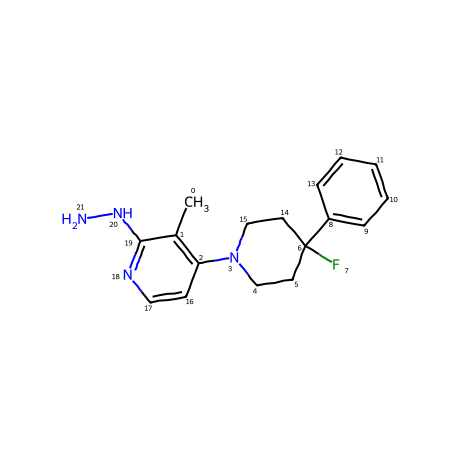 Cc1c(N2CCC(F)(c3ccccc3)CC2)ccnc1NN